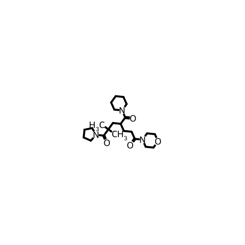 CC(C)(CC(CCC(=O)N1CCOCC1)C(=O)N1CCCCC1)C(=O)N1CCCC1